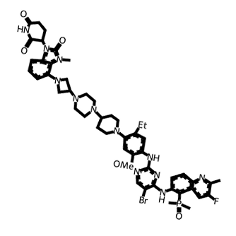 CCc1cc(Nc2ncc(Br)c(Nc3ccc4nc(C)c(F)cc4c3P(C)(C)=O)n2)c(OC)cc1N1CCC(N2CCN(C3CN(c4cccc5c4n(C)c(=O)n5C4CCC(=O)NC4=O)C3)CC2)CC1